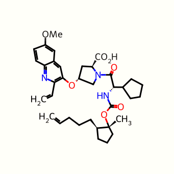 C=CCCC[C@@H]1CCC[C@@]1(C)OC(=O)N[C@H](C(=O)N1C[C@H](Oc2cc3cc(OC)ccc3nc2C=C)C[C@H]1C(=O)O)C1CCCC1